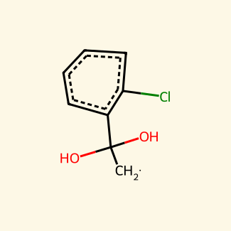 [CH2]C(O)(O)c1ccccc1Cl